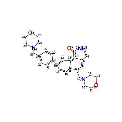 O=c1[nH]ccc2cc(CN3CCOCC3)c3ccc(-c4ccc(CN5CCOCC5)cc4)cc3c12